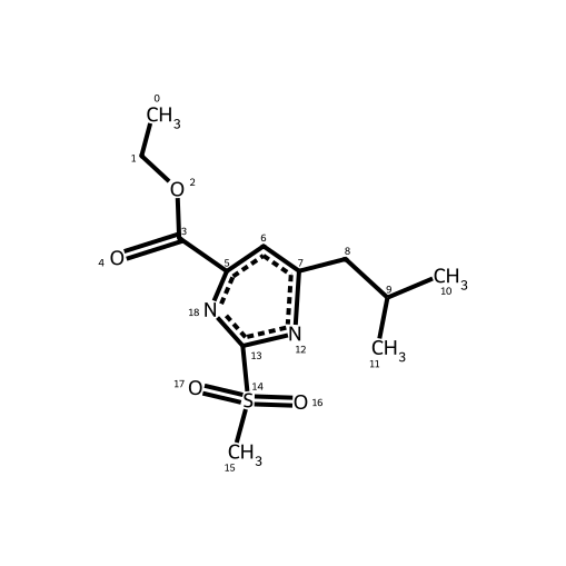 CCOC(=O)c1cc(CC(C)C)nc(S(C)(=O)=O)n1